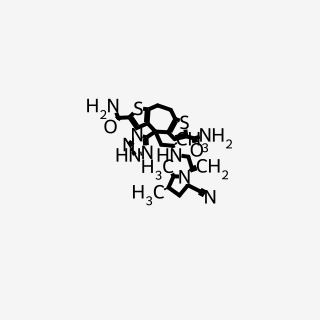 C=C(CN[C@@H](C)CC1(c2nn[nH]n2)c2cc(C(N)=O)sc2CCc2sc(C(N)=O)cc21)N1C(C#N)C[C@H](C)C1C